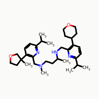 CC(CCN(C)Cc1nc(C(C)C)ccc1C1(C)CCOC1)NCc1nc(C(C)C)ccc1C1CCOCC1